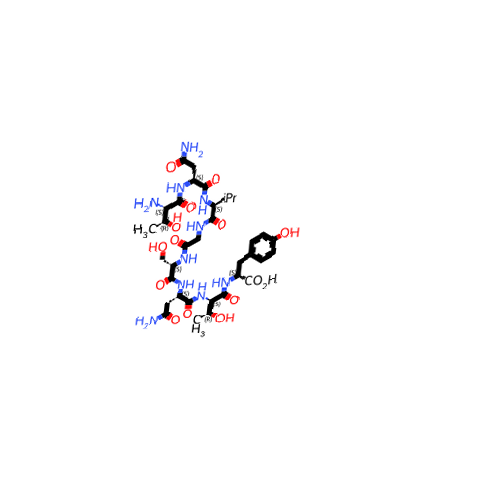 CC(C)[C@H](NC(=O)[C@H](CC(N)=O)NC(=O)[C@@H](N)[C@@H](C)O)C(=O)NCC(=O)N[C@@H](CO)C(=O)N[C@@H](CC(N)=O)C(=O)N[C@H](C(=O)N[C@@H](Cc1ccc(O)cc1)C(=O)O)[C@@H](C)O